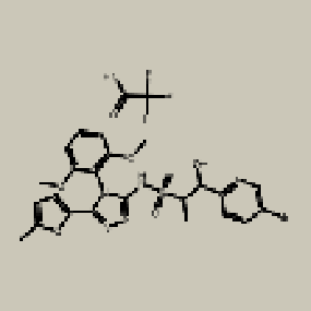 COc1cccc(OC)c1-n1c(NS(=O)(=O)C(C)C(O)c2ccc(Br)cn2)nnc1-c1ccc(C)o1.O=C(O)C(F)(F)F